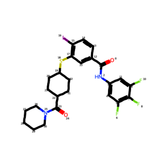 O=C(Nc1cc(F)c(F)c(F)c1)c1ccc(I)c(SC2CCC(C(=O)N3CCCCC3)CC2)c1